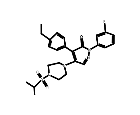 CCc1ccc(-c2c(N3CCN(S(=O)(=O)C(C)C)CC3)cnn(-c3cccc(F)c3)c2=O)cc1